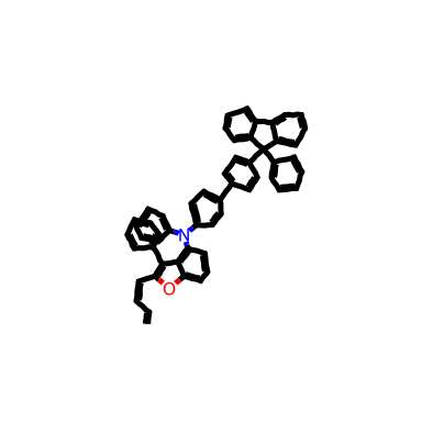 C=C/C=C\c1oc2cccc(N(c3ccccc3)c3ccc(-c4ccc(C5(c6ccccc6)c6ccccc6-c6ccccc65)cc4)cc3)c2c1-c1ccccc1